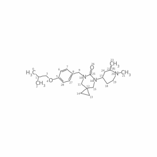 CC(C)COc1ccc(CN2CC3(CC3)CN(C3CCN(C)[C@H](C)C3)C2=O)cc1